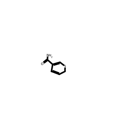 NC(=O)C1=CSCC=C1